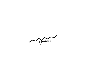 CCCCCCCCCC.CCCCP